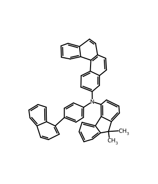 CC1(C)c2ccccc2-c2c(N(c3ccc(-c4cccc5ccccc45)cc3)c3ccc4c(ccc5ccc6ccccc6c54)c3)cccc21